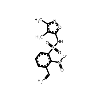 C=Cc1cccc(S(=O)(=O)Nc2onc(C)c2C)c1[N+](=O)[O-]